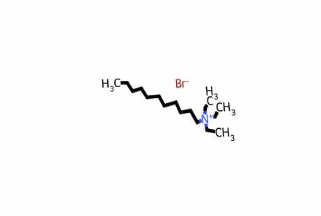 CCCCCCCCCCC[N+](CC)(CC)CC.[Br-]